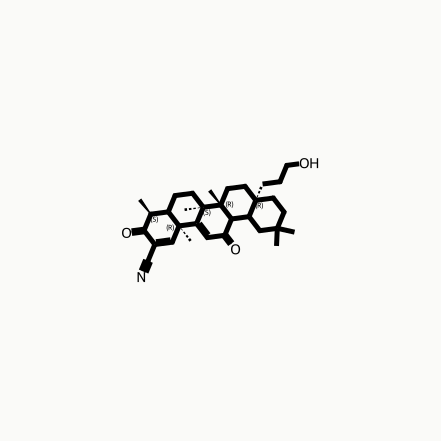 C[C@@H]1C(=O)C(C#N)=C[C@]2(C)C3=CC(=O)C4C5CC(C)(C)CC[C@]5(CCCO)CC[C@@]4(C)[C@]3(C)CCC12